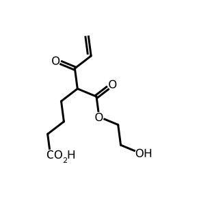 C=CC(=O)C(CCCC(=O)O)C(=O)OCCO